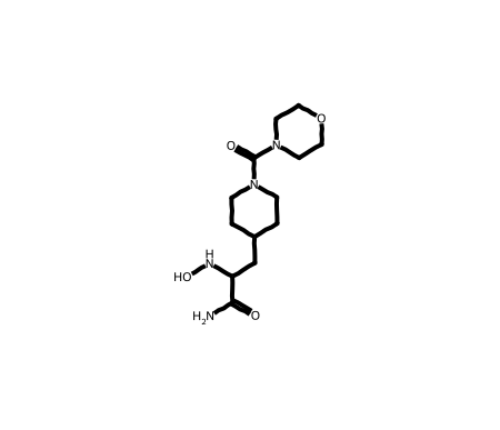 NC(=O)C(CC1CCN(C(=O)N2CCOCC2)CC1)NO